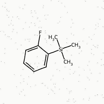 C[Si](C)(C)c1c[c]ccc1F